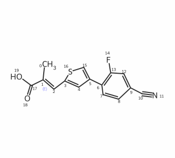 C/C(=C\c1cc(-c2ccc(C#N)cc2F)cs1)C(=O)O